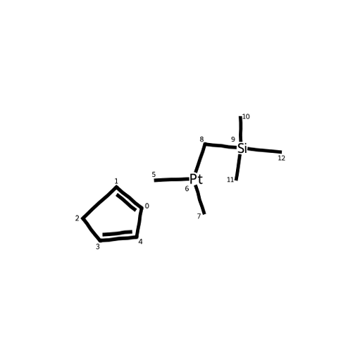 C1=CCC=C1.[CH3][Pt]([CH3])[CH2][Si](C)(C)C